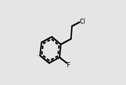 Fc1c[c]ccc1CCCl